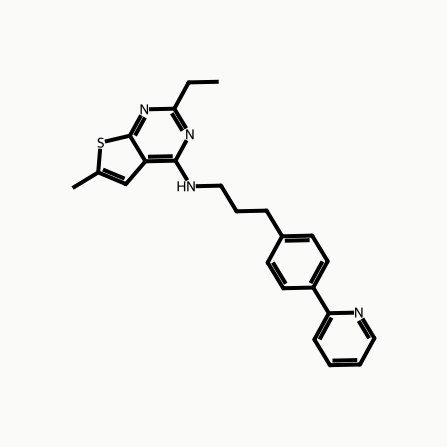 CCc1nc(NCCCc2ccc(-c3ccccn3)cc2)c2cc(C)sc2n1